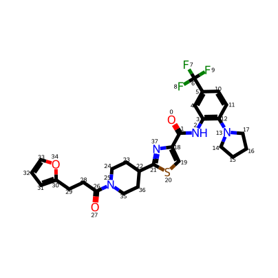 O=C(Nc1cc(C(F)(F)F)ccc1N1CCCC1)c1csc(C2CCN(C(=O)CCc3ccco3)CC2)n1